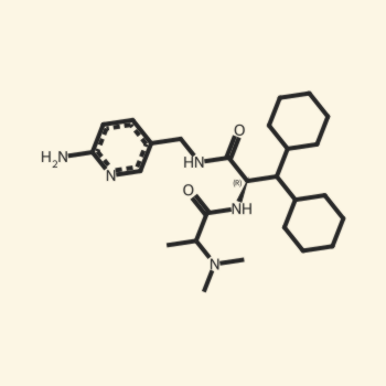 CC(C(=O)N[C@@H](C(=O)NCc1ccc(N)nc1)C(C1CCCCC1)C1CCCCC1)N(C)C